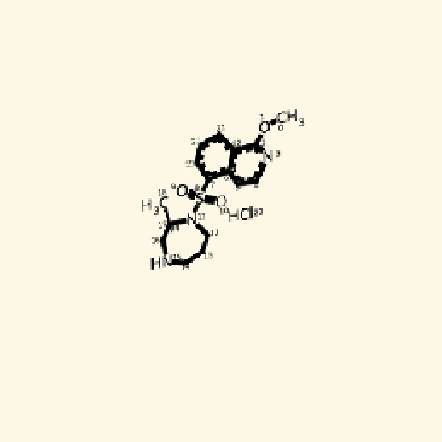 COc1nccc2c(S(=O)(=O)N3CCCNC[C@H]3C)cccc12.Cl